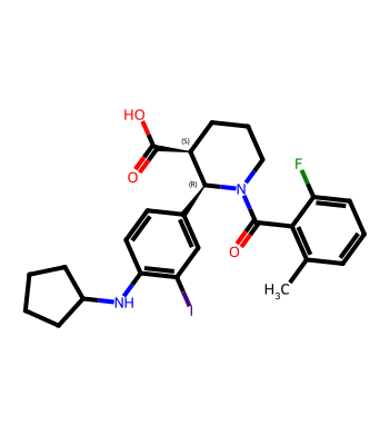 Cc1cccc(F)c1C(=O)N1CCC[C@H](C(=O)O)[C@@H]1c1ccc(NC2CCCC2)c(I)c1